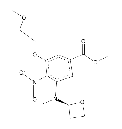 COCCOc1cc(C(=O)OC)cc(N(C)[C@@H]2CCO2)c1[N+](=O)[O-]